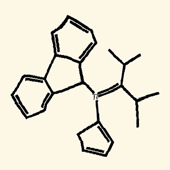 CC(C)[C](C(C)C)=[Ti]([C]1=CC=CC1)[CH]1c2ccccc2-c2ccccc21